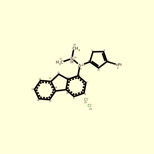 CCCC1=CC[C]([Zr+2]([c]2cccc3c2Cc2ccccc2-3)[SiH](C)C)=C1.[Cl-].[Cl-]